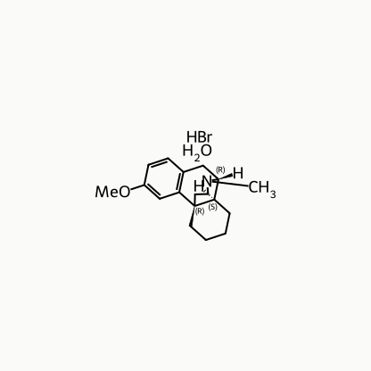 Br.COc1ccc2c(c1)[C@@]13CCCC[C@@H]1[C@@H](C2)N(C)CC3.O